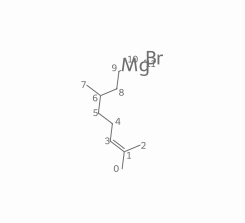 CC(C)=CCCC(C)C[CH2][Mg][Br]